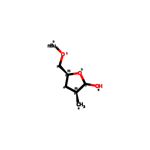 CCCCOC[C@@H]1C[C@H](C)C(O)O1